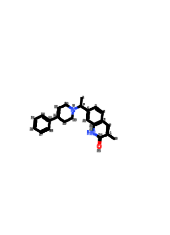 Cc1cc2ccc(C(C)N3CC=C(c4ccccc4)CC3)cc2[nH]c1=O